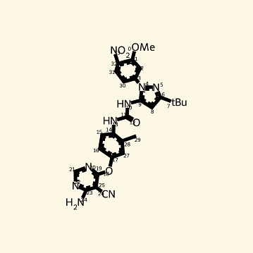 COc1cc(-n2nc(C(C)(C)C)cc2NC(=O)Nc2ccc(Oc3ncnc(N)c3C#N)cc2C)ccc1[N+](=O)[O-]